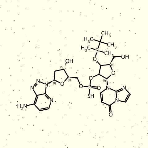 CC(C)(C)[Si](C)(C)OC1C(OP(=O)(S)OC[C@H]2O[C@@H](n3nnc4c(N)ccnc43)C[C@@H]2O)[C@H](n2ccc(=O)n3ccnc23)O[C@@H]1CO